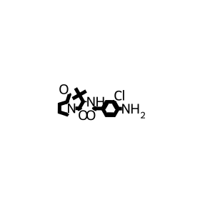 CC(C)(C)[C@H](NC(=O)c1ccc(N)c(Cl)c1)C(=O)N1CCCC1C=O